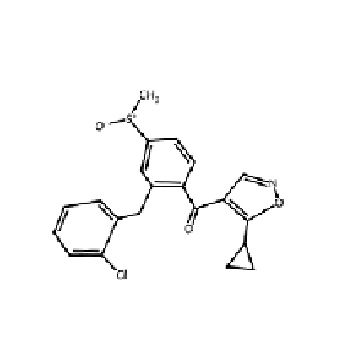 C[S+]([O-])c1ccc(C(=O)c2cnoc2C2CC2)c(Cc2ccccc2Cl)c1